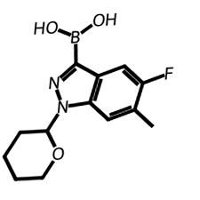 Cc1cc2c(cc1F)c(B(O)O)nn2C1CCCCO1